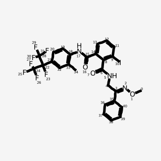 CON=C(CNC(=O)c1c(I)cccc1C(=O)Nc1ccc(C(F)(C(F)(F)F)C(F)(F)F)cc1C)c1ccccc1